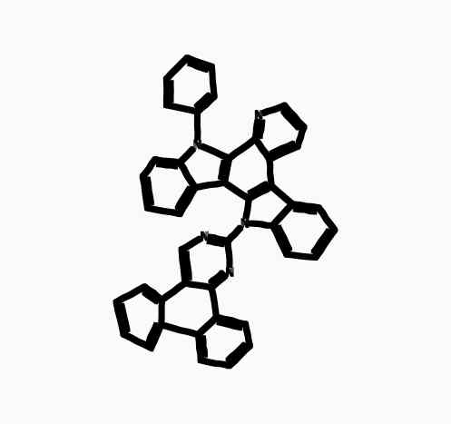 c1ccc(-n2c3ccccc3c3c2c2ncccc2c2c4ccccc4n(-c4ncc5c6ccccc6c6ccccc6c5n4)c23)cc1